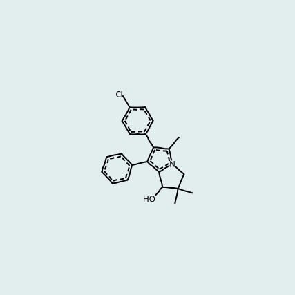 Cc1c(-c2ccc(Cl)cc2)c(-c2ccccc2)c2n1CC(C)(C)C2O